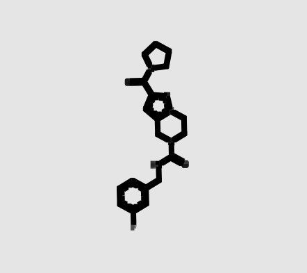 O=C(NCc1cccc(F)c1)N1CCn2nc(C(=O)N3CCCC3)cc2C1